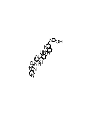 Cc1c(Nc2nccc3cc(CN4CC[C@@H](O)C4)cnc23)cccc1-c1nccc(NC(=O)c2nc3c(n2C)CCN(C)C3)c1Cl